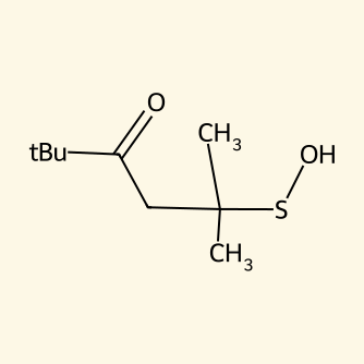 CC(C)(CC(=O)C(C)(C)C)SO